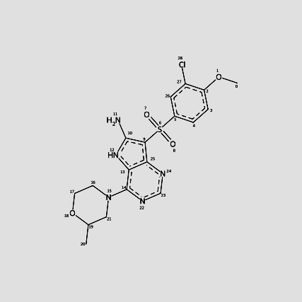 COc1ccc(S(=O)(=O)c2c(N)[nH]c3c(N4CCOC(C)C4)ncnc23)cc1Cl